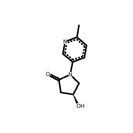 Cc1ccc(N2C[C@@H](O)CC2=O)cn1